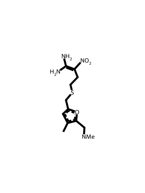 CNCc1oc(CSCCC(=C(N)N)[N+](=O)[O-])cc1C